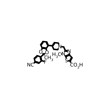 Cn1c(CN2CC=C(c3cccc4c3O[C@@](C)(c3ccc(C#N)cc3F)O4)CC2)nc2cc(C(=O)O)sc21